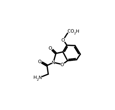 NCC(=O)n1oc2cccc(OC(=O)O)c2c1=O